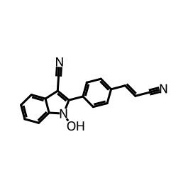 N#C/C=C/c1ccc(-c2c(C#N)c3ccccc3n2O)cc1